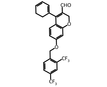 O=CC1=C(C2=CC=CCC2)c2ccc(OCc3ccc(C(F)(F)F)cc3C(F)(F)F)cc2OC1